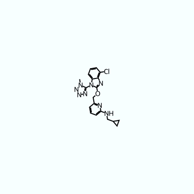 Cn1nnnc1-n1c(OCc2cccc(NCC3CC3)n2)nc2c(Cl)cccc21